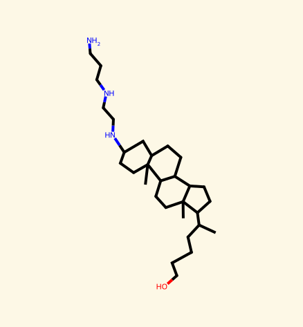 CC(CCCCO)C1CCC2C3CCC4CC(NCCNCCCN)CCC4(C)C3CCC12C